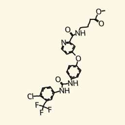 COC(=O)CCCNC(=O)c1cc(Oc2ccc(NC(=O)Nc3ccc(Cl)c(C(F)(F)F)c3)cc2)ccn1